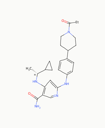 CCC(=O)N1CCC(c2ccc(Nc3cc(N[C@H](C)C4CC4)c(C(N)=O)cn3)cc2)CC1